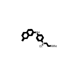 C=C1C=Cc2ccc(Nc3ccc(N(CC)CCNC)cc3)cc2C1